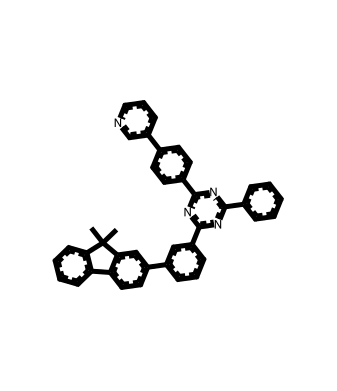 CC1(C)c2ccccc2-c2ccc(-c3cccc(-c4nc(-c5ccccc5)nc(-c5ccc(-c6cccnc6)cc5)n4)c3)cc21